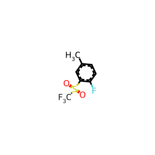 Cc1ccc(F)c(S(=O)(=O)C(F)(F)F)c1